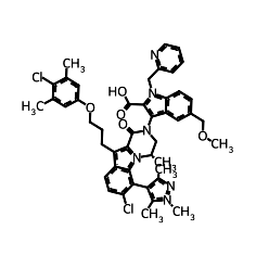 COCc1ccc2c(c1)c(N1C[C@@H](C)n3c(c(CCCOc4cc(C)c(Cl)c(C)c4)c4ccc(Cl)c(-c5c(C)nn(C)c5C)c43)C1=O)c(C(=O)O)n2Cc1ccccn1